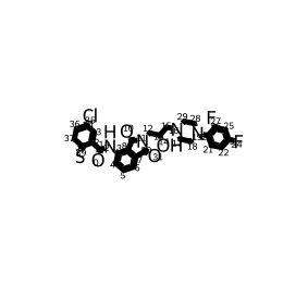 O=C(Nc1cccc2c1C(=O)N(CC(O)CN1CCN(c3ccc(F)cc3F)CC1)C2=O)C1=CC(Cl)=CCC1=S